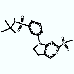 CC(C)(C)NS(=O)(=O)c1cccc(N2CCc3cnc(S(C)(=O)=O)nc32)c1